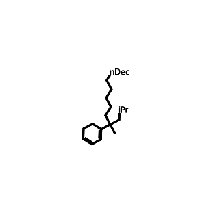 CCCCCCCCCCCCCCCC(C)(CC(C)C)C1=CC=CCC1